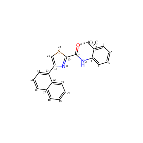 O=C(Nc1ccccc1C(=O)O)c1nc(-c2cccc3ccccc23)cs1